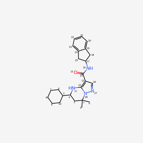 CC1(C)CC(C2CCCCC2)Nc2c(C(=O)NC3Cc4ccccc4C3)cnn21